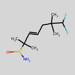 CC(C)(CC=CC(C)(C)[S+](N)[O-])C(F)F